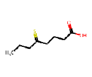 CCCC(=S)CCCC(=O)O